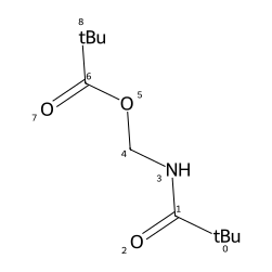 CC(C)(C)C(=O)NCOC(=O)C(C)(C)C